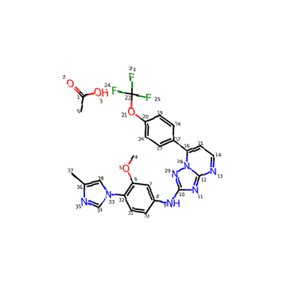 CC(=O)O.COc1cc(Nc2nc3nccc(-c4ccc(OC(F)(F)F)cc4)n3n2)ccc1-n1cnc(C)c1